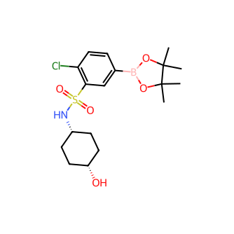 CC1(C)OB(c2ccc(Cl)c(S(=O)(=O)N[C@H]3CC[C@@H](O)CC3)c2)OC1(C)C